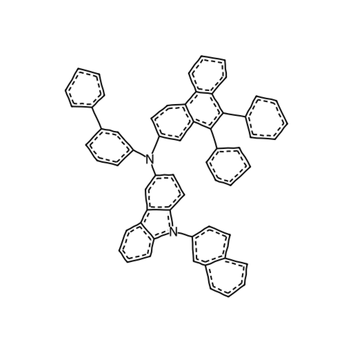 c1ccc(-c2cccc(N(c3ccc4c(c3)c(-c3ccccc3)c(-c3ccccc3)c3ccccc34)c3ccc4c(c3)c3ccccc3n4-c3ccc4ccccc4c3)c2)cc1